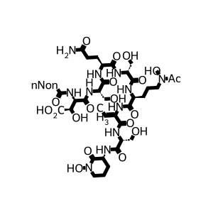 C/C=C(\NC(=O)[C@H](CCCN(O)C(C)=O)NC(=O)[C@@H](CO)NC(=O)[C@H](CCC(N)=O)NC(=O)[C@H](CO)NC(=O)[C@H](NC(=O)CCCCCCCCC)[C@@H](O)C(=O)O)C(=O)N[C@H](CO)C(=O)N[C@@H]1CCCN(O)C1=O